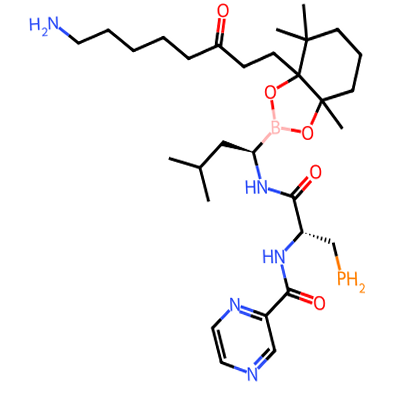 CC(C)C[C@H](NC(=O)[C@H](CP)NC(=O)c1cnccn1)B1OC2(C)CCCC(C)(C)C2(CCC(=O)CCCCCN)O1